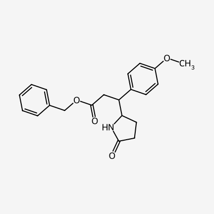 COc1ccc(C(CC(=O)OCc2ccccc2)C2CCC(=O)N2)cc1